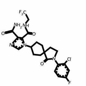 NC(=O)c1ncn(C2CCC3(CC2)CCN(c2ccc(F)cc2Cl)C3=O)c1C(=O)NCC(F)(F)F